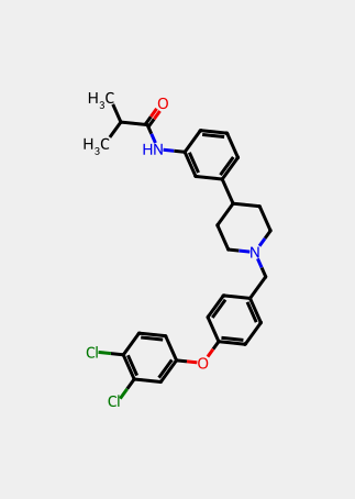 CC(C)C(=O)Nc1cccc(C2CCN(Cc3ccc(Oc4ccc(Cl)c(Cl)c4)cc3)CC2)c1